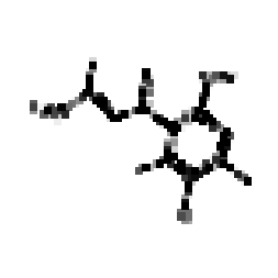 CCOC(=O)/C(C)=C/C(=O)c1c(OC)cc(C)c(Cl)c1C